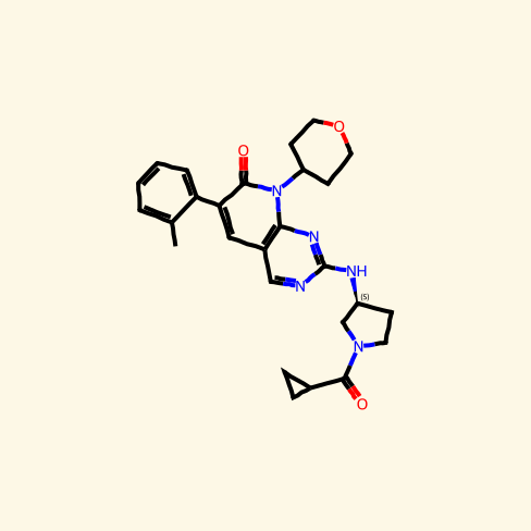 Cc1ccccc1-c1cc2cnc(N[C@H]3CCN(C(=O)C4CC4)C3)nc2n(C2CCOCC2)c1=O